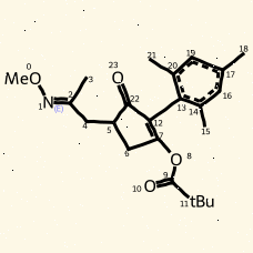 CO/N=C(\C)CC1CC(OC(=O)C(C)(C)C)=C(c2c(C)cc(C)cc2C)C1=O